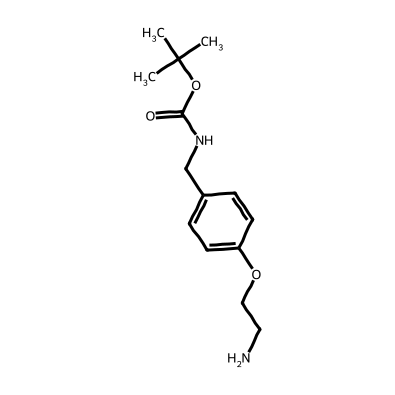 CC(C)(C)OC(=O)NCc1ccc(OCCN)cc1